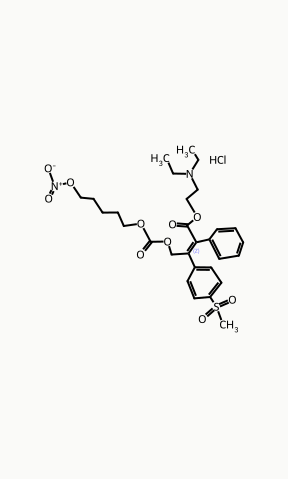 CCN(CC)CCOC(=O)/C(=C(\COC(=O)OCCCCCO[N+](=O)[O-])c1ccc(S(C)(=O)=O)cc1)c1ccccc1.Cl